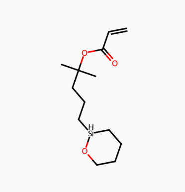 C=CC(=O)OC(C)(C)CCC[SiH]1CCCCO1